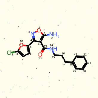 Nc1onc(-c2ccc(Cl)o2)c1C(=O)NCCCc1ccccc1